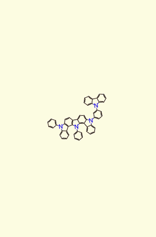 c1ccc(-n2c3ccccc3c3c2ccc2c4ccc5c(c6ccccc6n5-c5cccc(-n6c7ccccc7c7ccccc76)c5)c4n(-c4ccccc4)c23)cc1